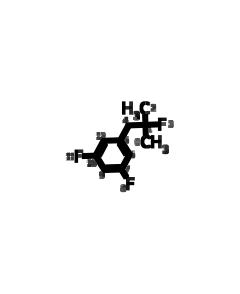 CC(C)(F)Cc1cc(F)cc(F)c1